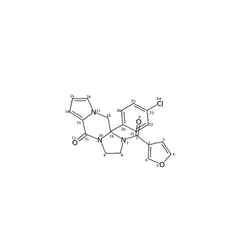 O=C(c1ccoc1)N1CCN2C(=O)c3cccn3CC12c1ccc(Cl)cc1